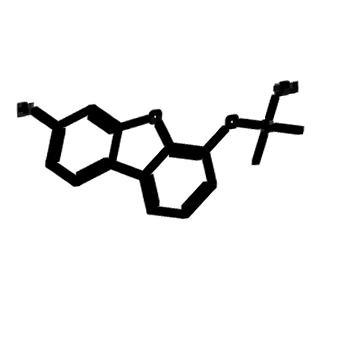 CC(C)(C)[Si](C)(C)Oc1cccc2c1oc1cc(Br)ccc12